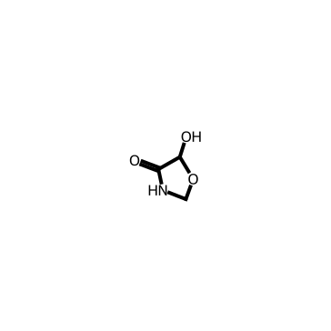 O=C1NCOC1O